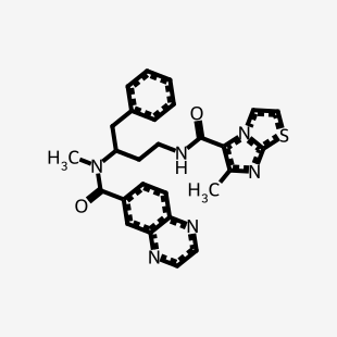 Cc1nc2sccn2c1C(=O)NCCC(Cc1ccccc1)N(C)C(=O)c1ccc2nccnc2c1